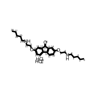 CCCCCNCCOc1ccc2c(c1)C(=O)c1cc(OCCNCCCCC)ccc1-2.Cl.Cl